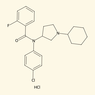 Cl.O=C(c1ccccc1F)N(c1ccc(Cl)cc1)C1CCN(C2CCCCC2)C1